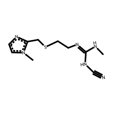 CNC(=NCCSCc1nccn1C)NC#N